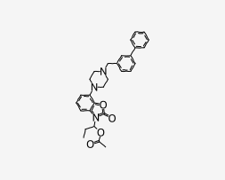 CCC(OC(C)=O)n1c(=O)oc2c(N3CCN(Cc4cccc(-c5ccccc5)c4)CC3)cccc21